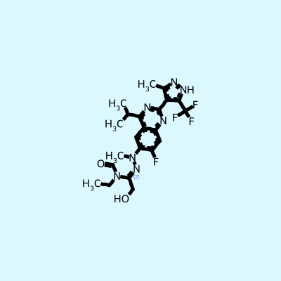 CCN(C=O)/C(CO)=N\N(C)c1cc2c(C(C)C)nc(-c3c(C)n[nH]c3C(F)(F)F)nc2cc1F